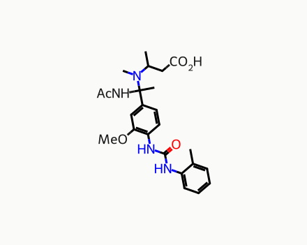 COc1cc(C(C)(NC(C)=O)N(C)C(C)CC(=O)O)ccc1NC(=O)Nc1ccccc1C